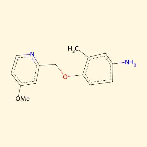 COc1ccnc(COc2ccc(N)cc2C)c1